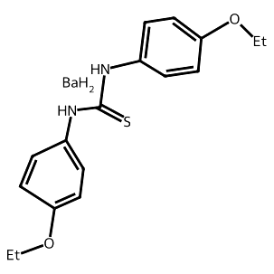 CCOc1ccc(NC(=S)Nc2ccc(OCC)cc2)cc1.[BaH2]